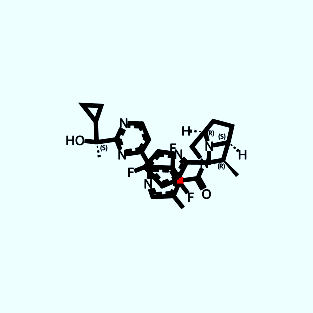 Cc1cnc(-c2ccnc([C@@](C)(O)C3CC3)n2)c(F)c1C(=O)N1C[C@H]2CC[C@@H]([C@H]1C)N2Cc1ncc(F)cc1F